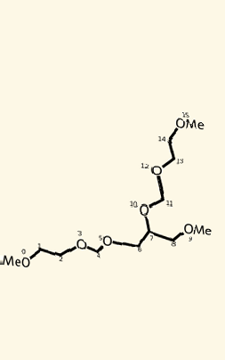 COCCOCOCC(COC)OCOCCOC